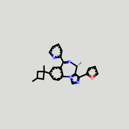 CC1CC(C)(c2ccc3c(c2)C(c2ccccn2)=N[C@H](C)c2c(-c4ccco4)ncn2-3)C1